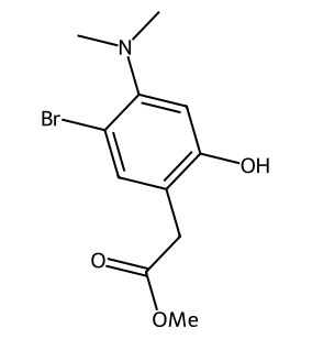 COC(=O)Cc1cc(Br)c(N(C)C)cc1O